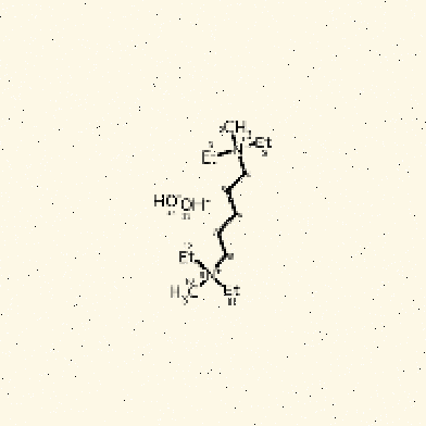 CC[N+](C)(CC)CCCCC[N+](C)(CC)CC.[OH-].[OH-]